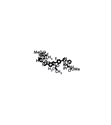 C/C=C(\C)C1Oc2cc(-c3cnc([C@@H]4CCCN4C(=O)[C@@H](NC(=O)OC)C(C)C)[nH]3)cc(F)c2-c2cc3cc(-c4cnc([C@@H]5C[C@H]6C[C@H]6N5C(=O)C(NC(=O)OC)C(C)(C)F)[nH]4)ccc3n21